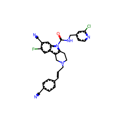 N#Cc1ccc(C=CCN2CCc3c(c4cc(F)c(C#N)cc4n3C(=O)NCc3ccnc(Cl)c3)C2)cc1